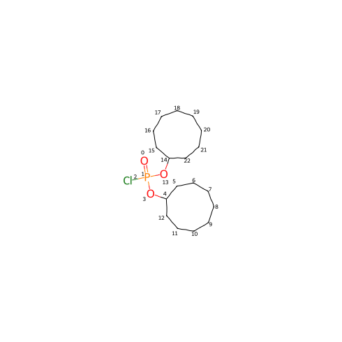 O=P(Cl)(OC1CCCCCCCC1)OC1CCCCCCCC1